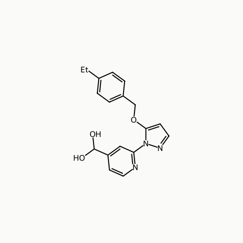 CCc1ccc(COc2ccnn2-c2cc(C(O)O)ccn2)cc1